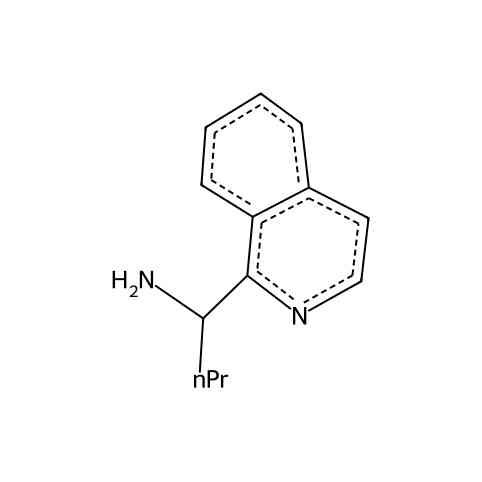 CCCC(N)c1nccc2ccccc12